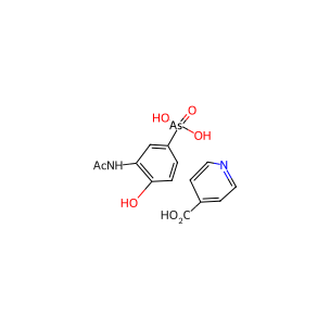 CC(=O)Nc1cc([As](=O)(O)O)ccc1O.O=C(O)c1ccncc1